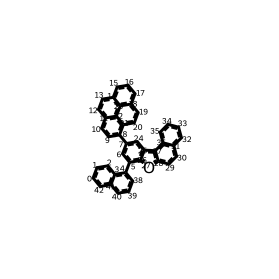 c1ccc2c(-c3cc(-c4ccc5ccc6cccc7ccc4c5c67)cc4c3oc3ccc5ccccc5c34)cccc2c1